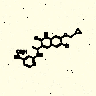 C[C@H](Nc1cc(NC(=O)O)ccn1)c1cc2cc(Cl)c(OCC3CC3)cc2[nH]c1=O